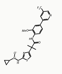 COc1cc(-c2cncc(C(F)(F)F)c2)ccc1NC(=O)C(C)(C)c1csc(N[S+]([O-])C2CC2)n1